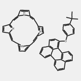 C1=Cc2cc3ccc(cc4nc(cc5ccc(cc1n2)[nH]5)C=C4)[nH]3.CC(C)(C)c1ccc(Oc2ccc3cccc4c5cccc6cccc(c2c34)c65)cc1